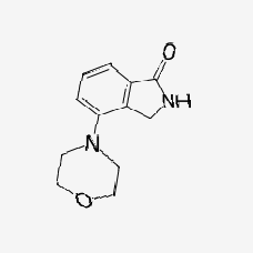 O=C1NCc2c1cccc2N1CCOCC1